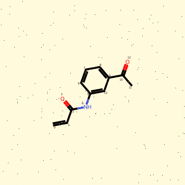 C=CC(=O)Nc1cccc(C(C)=O)c1